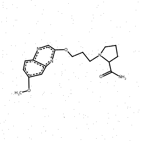 COc1ccc2ncc(OCCCN3CC[CH]C3C(N)=O)nc2c1